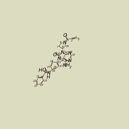 CC#CC(=O)N1CC[C@@H](n2c(=O)n(-c3ccc(NC(O)c4ccccc4)cc3)c3c(N)ncnc32)C1